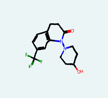 O=C1CCc2ccc(C(F)(F)F)cc2N1N1CCC(O)CC1